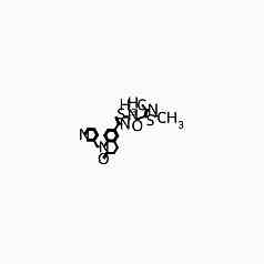 Cc1nc(C)c(C(=O)Nc2nc(-c3ccc4c(c3)CCC(=O)N4Cc3cccnc3)cs2)s1